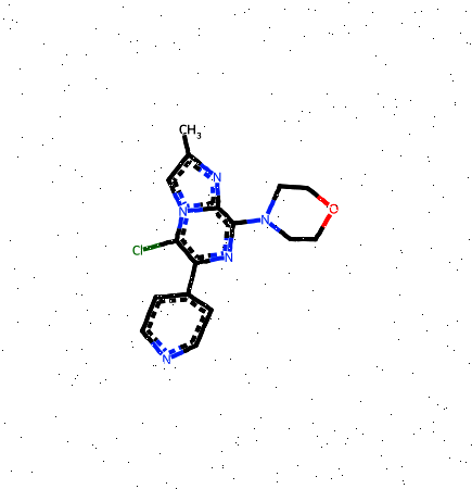 Cc1cn2c(Cl)c(-c3ccncc3)nc(N3CCOCC3)c2n1